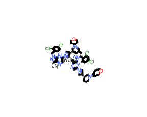 C[C@H](c1ccc(Cl)cc1Cl)n1nc(C#N)c2ncc(N3CC([C@@H]4CC(C[C@H](c5ccc(Cl)cc5Cl)n5nc(C#N)c6ncc(N7CC([C@H]8CCCN(C9CCOCC9)C8)C7)nc65)CN(C5CCOCC5)C4)C3)nc21